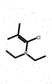 CCN(CC)C(Cl)=C(C)C